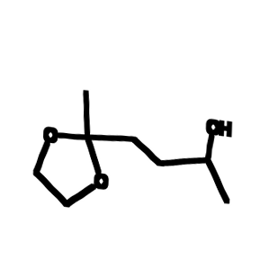 CC(O)CCC1(C)OCCO1